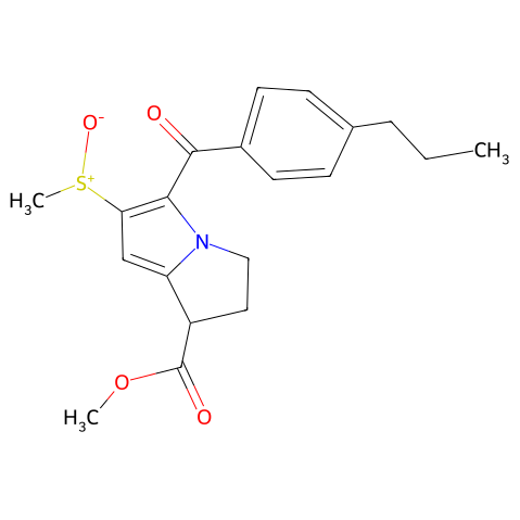 CCCc1ccc(C(=O)c2c([S+](C)[O-])cc3n2CCC3C(=O)OC)cc1